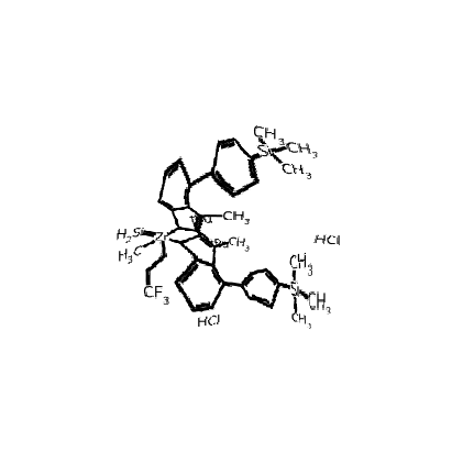 CC1=C(C(C)(C)C)[CH]([Zr]([CH3])(=[SiH2])([CH2]CC(F)(F)F)[CH]2C(C(C)(C)C)=C(C)c3c(-c4ccc([Si](C)(C)C)cc4)cccc32)c2cccc(-c3ccc([Si](C)(C)C)cc3)c21.Cl.Cl